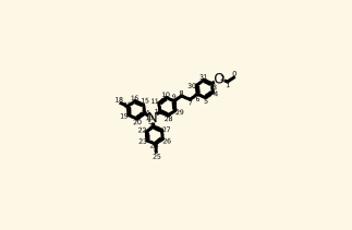 CCOc1ccc(CCc2ccc(N(c3ccc(C)cc3)c3ccc(C)cc3)cc2)cc1